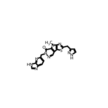 Cn1c2nc(Cc3cc[nH]n3)sc2c2cnn(Cc3ccc4nc[nH]c4n3)c(=O)c21